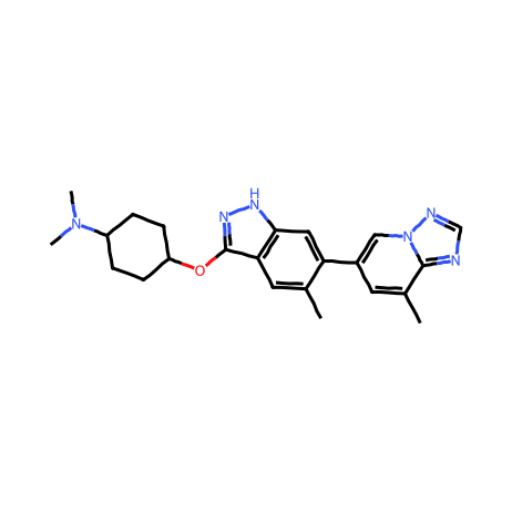 Cc1cc2c(OC3CCC(N(C)C)CC3)n[nH]c2cc1-c1cc(C)c2ncnn2c1